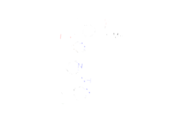 COC(=O)c1ccc2c(c1)CCCC2(O)c1ncc(-c2cc(C)cc(Nc3cc([C@H](C)F)ccn3)n2)s1